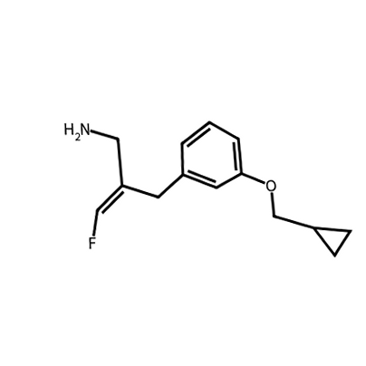 NC/C(=C/F)Cc1cccc(OCC2CC2)c1